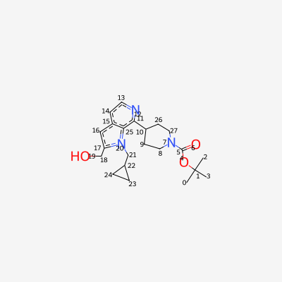 CC(C)(C)OC(=O)N1CCC(c2nccc3cc(CO)n(CC4CC4)c23)CC1